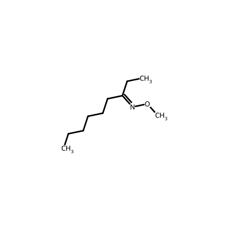 CCCCCCC(CC)=NOC